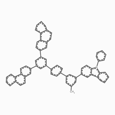 Cc1cc(-c2ccc(-c3cc(-c4ccc5c(ccc6ccccc65)c4)cc(-c4ccc5c(ccc6ccccc65)c4)c3)cc2)cc(-c2ccc3c(c2)c2ccccc2n3-c2ccccc2)c1